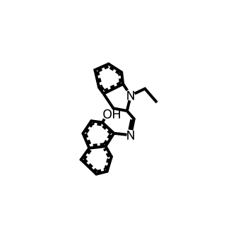 CCN1c2ccccc2CC1/C=N\c1c(O)ccc2ccccc12